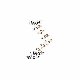 [Mo+4].[Mo+4].[Mo+4].[S-2].[S-2].[S-2].[S-2].[S-2].[S-2]